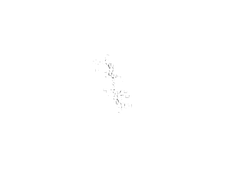 COc1ccccc1-c1cn2c(n1)[C@H](C(C)C)N(C(=O)[C@@H](N)CSSC[C@H](N)C(=O)N1CCn3cc(-c4ccccc4OC)nc3[C@@H]1C(C)C)CC2